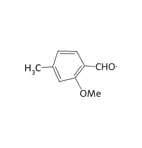 COc1cc(C)ccc1[C]=O